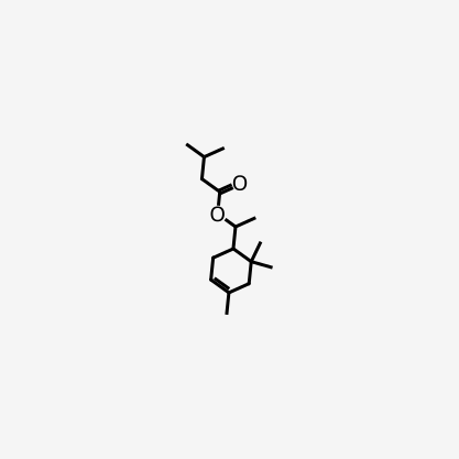 CC1=CCC(C(C)OC(=O)CC(C)C)C(C)(C)C1